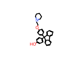 Oc1ccc(C2(c3ccc(OCCN4CCCCC4)cc3)c3ccccc3-c3ccccc32)cc1